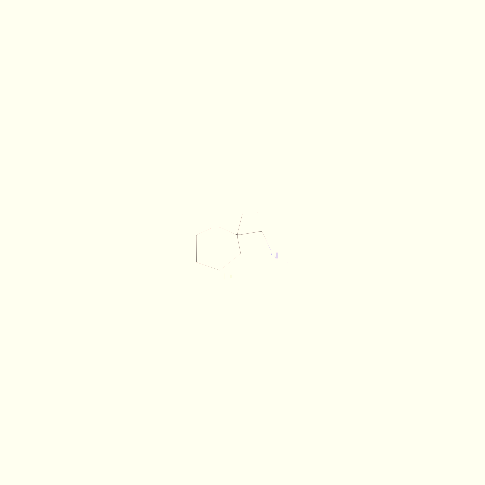 CC1(CN)CCCCO1.Cl